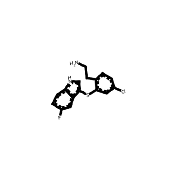 NCCc1ccc(Cl)cc1Sc1c[nH]c2ccc(F)cc12